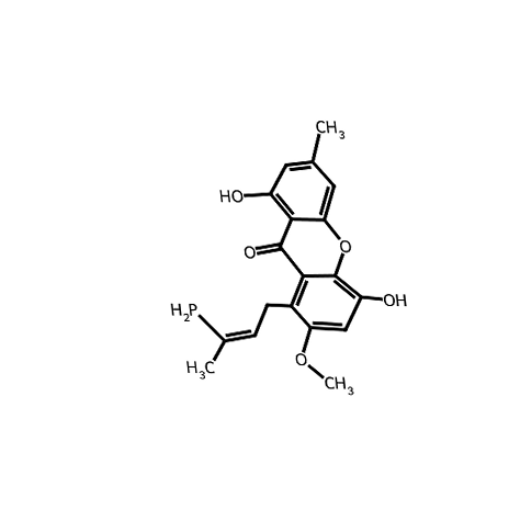 COc1cc(O)c2oc3cc(C)cc(O)c3c(=O)c2c1C/C=C(/C)P